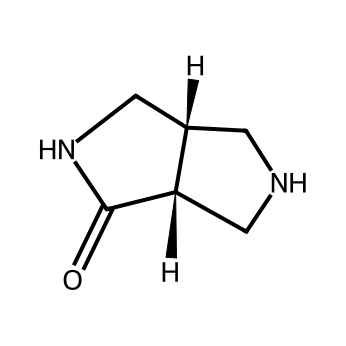 O=C1NC[C@@H]2CNC[C@H]12